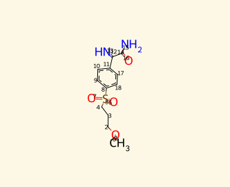 COCCCS(=O)(=O)c1ccc(C(=N)C(N)=O)cc1